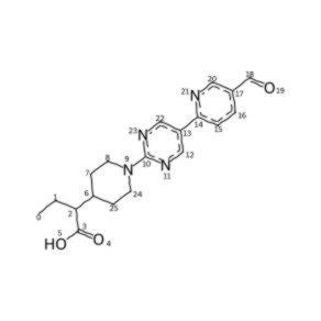 CCC(C(=O)O)C1CCN(c2ncc(-c3ccc(C=O)cn3)cn2)CC1